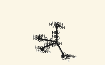 COP(C)(=O)OCC[C@@H]1CC(C)CCN1C(=O)CCCCCCCCCCC(=O)NC(COCCC(=O)NCCCNC(=O)CCCCOC1OC(CO)C(O)C(O)C1C)(COCCC(=O)NCCCNC(=O)CCCCOC1OC(CO)C(O)C(O)C1C)COCCC(=O)NCCCNC(=O)CCCCOC1OC(CO)C(O)C(O)C1C